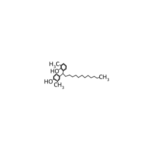 CCCCCCCCCCCCC(c1ccc(O)c(C)c1)c1cccc(C)c1O